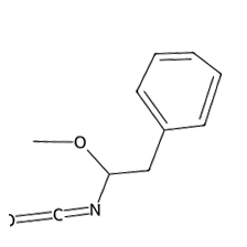 COC(Cc1ccccc1)N=C=O